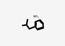 C[C](C)Cc1ccccc1.N